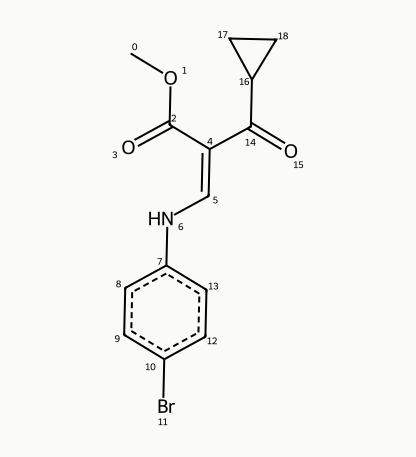 COC(=O)/C(=C\Nc1ccc(Br)cc1)C(=O)C1CC1